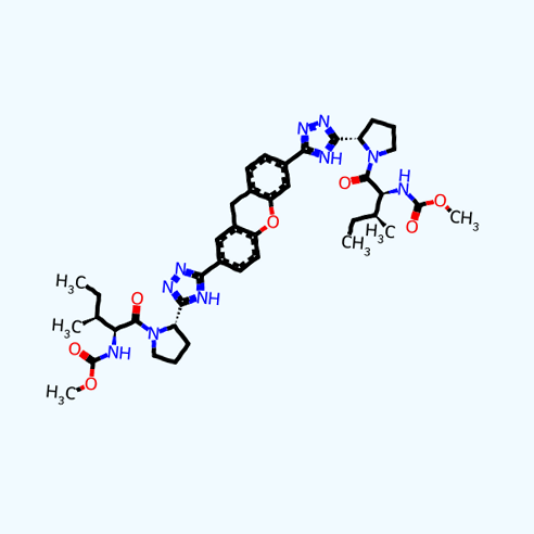 CC[C@H](C)[C@H](NC(=O)OC)C(=O)N1CCC[C@H]1c1nnc(-c2ccc3c(c2)Cc2ccc(-c4nnc([C@@H]5CCCN5C(=O)[C@@H](NC(=O)OC)[C@@H](C)CC)[nH]4)cc2O3)[nH]1